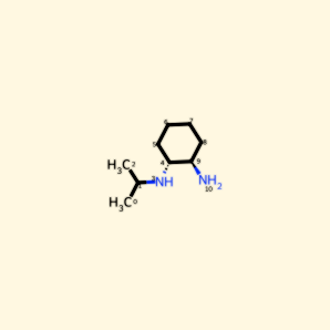 CC(C)N[C@@H]1CCCC[C@H]1N